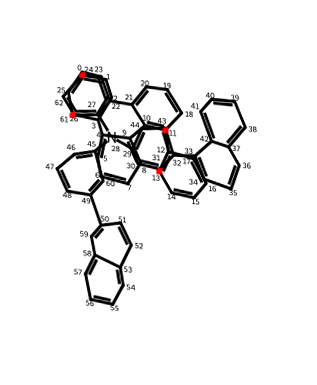 c1ccc(-c2ccccc2-c2c(-c3ccccc3)cccc2-c2ccccc2N(c2ccc(-c3cccc4ccccc34)cc2)c2cccc(-c3ccc4ccccc4c3)c2)cc1